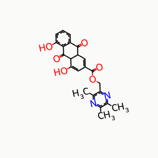 Cc1nc(C)c(COC(=O)C2=CC3C(=O)c4cccc(O)c4C(=O)C3C(O)=C2)nc1C